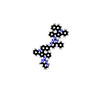 Cc1nc(-n2c3ccccc3c3c4c5c6ccc(-c7ccc8c(-c9ccccc9)nc(-n9c%10ccccc%10c%10c%11c%12c%13ccccc%13ccc%12n%12c%13ccccc%13c(cc%109)c%11%12)nc8n7)cc6ccc5n5c6ccccc6c(cc32)c45)nc2ncccc12